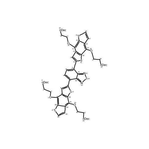 CCCCCCCCCCCCOc1c2cc(-c3ccc(-c4cc5c(OCCCCCCCCCCCC)c6sccc6c(OCCCCCCCCCCCC)c5s4)c4nsnc34)sc2c(OCCCCCCCCCCCC)c2ccsc12